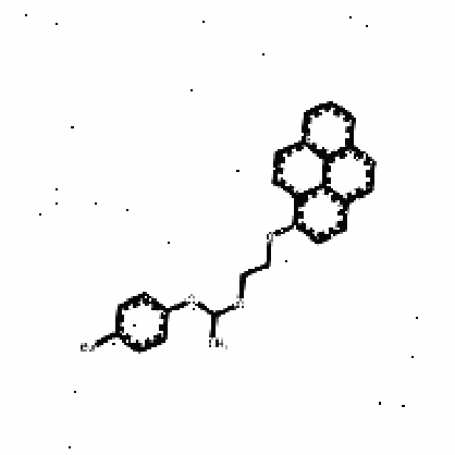 CCC(C)c1ccc(OC(C)OCCOc2ccc3ccc4cccc5ccc2c3c45)cc1